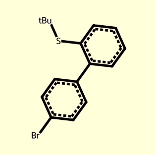 CC(C)(C)Sc1ccccc1-c1ccc(Br)cc1